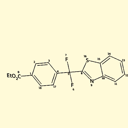 CCOC(=O)c1ccc(C(F)(F)c2nc3ccccc3s2)cc1